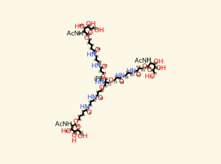 CC(=O)NC1C(OCCCCC(=O)NCCCNC(=O)CCOCC(COCCC(=O)NCCCNC(=O)CCCCOC2OC(CO)C(O)C(O)C2NC(C)=O)(COCCC(=O)NCCCNC(=O)CCOC2OC(CO)C(O)C(O)C2NC(C)=O)NC(C)C)OC(CO)C(O)C1O